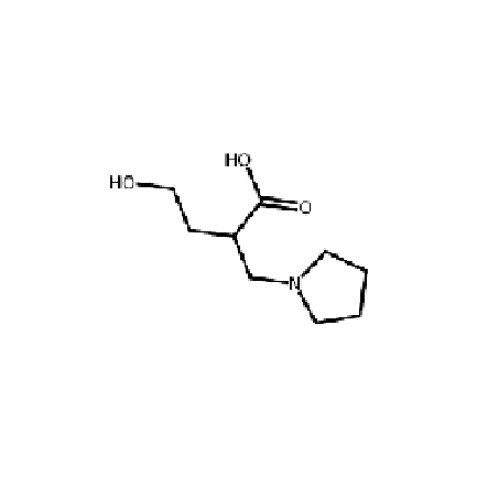 O=C(O)C(CCO)CN1CCCC1